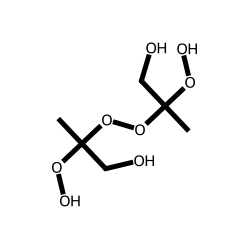 CC(CO)(OO)OOC(C)(CO)OO